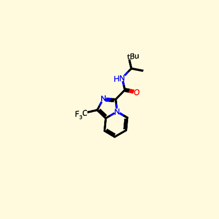 CC(NC(=O)c1nc(C(F)(F)F)c2ccccn12)C(C)(C)C